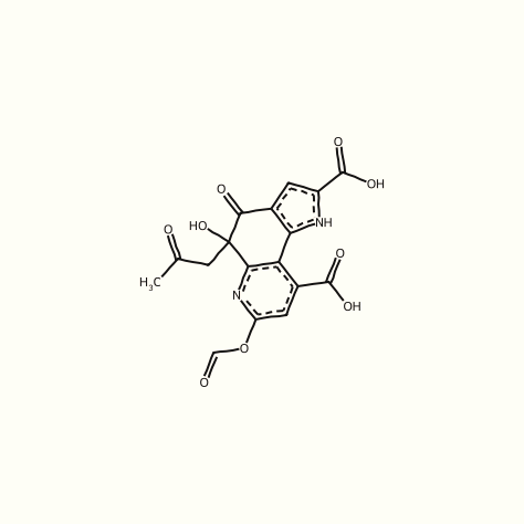 CC(=O)CC1(O)C(=O)c2cc(C(=O)O)[nH]c2-c2c(C(=O)O)cc(OC=O)nc21